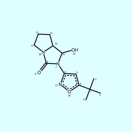 CC(C)(C)c1cc(N2C(=O)N3CCCC3C2O)no1